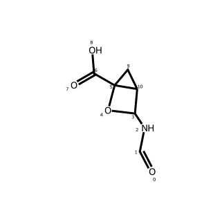 O=CNC1OC2(C(=O)O)CC12